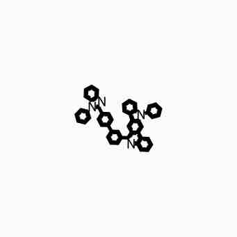 c1ccc(-n2c(-c3ccc(-c4cccc(-c5nc6ccccc6c6cc7c(cc56)c5ccccc5n7-c5ccccc5)c4)cc3)nc3ccccc32)cc1